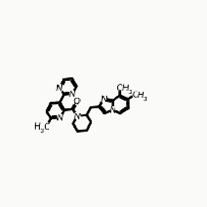 Cc1ccc(-c2ncccn2)c(C(=O)N2CCCCC2Cc2cn3ccc(C)c(C)c3n2)n1